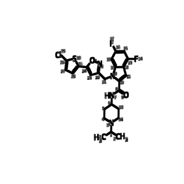 CC(C)N1CCC(NC(=O)c2cc3c(F)cc(F)cc3n2Cc2cc(-c3ccc(Cl)s3)on2)CC1